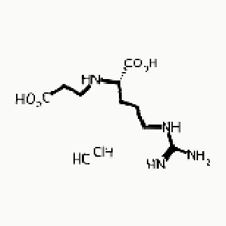 Cl.Cl.N=C(N)NCCC[C@H](NCCC(=O)O)C(=O)O